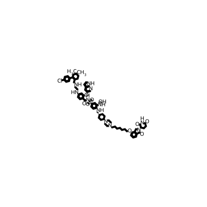 CC1(C)CCC(CNCCNc2ccc(C(=O)NS(=O)(=O)c3ccc(NC[C@H]4CC[C@@H](N5CCN(CCCCCCCOc6cccc7c6CN(C6CCC(=O)NC6=O)C7=O)CC5)CC4)c(NO)c3)c(Oc3cnc4[nH]ccc4c3)c2)=C(c2ccc(Cl)cc2)C1